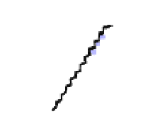 [CH]=C/C=C/C=C/C=C/CCCCCCCCCCCCCCCC